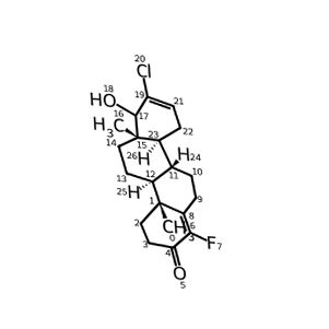 C[C@]12CCC(=O)C(F)=C1CC[C@@H]1[C@@H]2CC[C@]2(C)C(O)C(Cl)=CC[C@@H]12